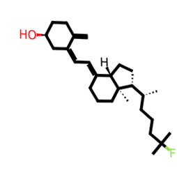 C=C1CC[C@H](O)C/C1=C/C=C1\CCC[C@]2(C)[C@@H]([C@H](C)CCCC(C)(C)F)CC[C@@H]12